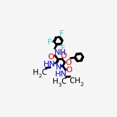 C=CCNC1=C(C(=O)NCc2c(F)cc(F)cc2F)C(=O)C(OCc2ccccc2)C(C(=O)NC(C)C=C)=N1